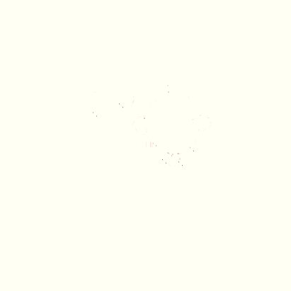 C=C1COc2ccc(cc2)CNc2nc(nc(OCC(F)(F)F)n2)Nc2ccc(C(=O)NCC3(CN4CCCC4)CC3)c(c2)OC1